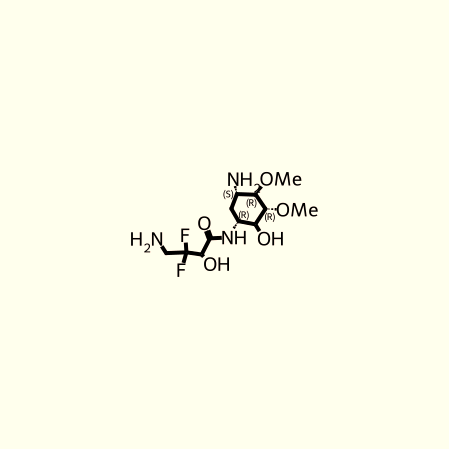 CO[C@H]1[C@H](OC)C(O)[C@H](NC(=O)C(O)C(F)(F)CN)C[C@@H]1N